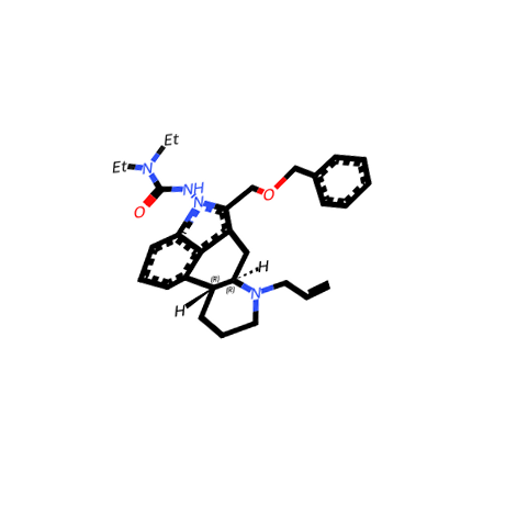 C=CCN1CCC[C@@H]2c3cccc4c3c(c(COCc3ccccc3)n4NC(=O)N(CC)CC)C[C@H]21